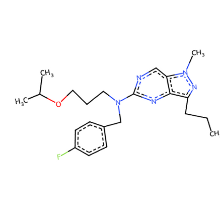 CCCc1nn(C)c2cnc(N(CCCOC(C)C)Cc3ccc(F)cc3)nc12